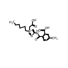 CCCCCC[N+]1(CC(=O)O)C=NC(NC(=O)c2ccc(C)cc2C(=O)O)=C1